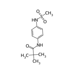 CC(C)(C)C(=O)Nc1ccc(NS(C)(=O)=O)cc1